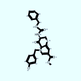 COC(=O)C1=CN(Cc2ccc(Cl)cc2)C2C(=O)[C@@H](NC(=O)OCc3ccccc3)CSC2=C1